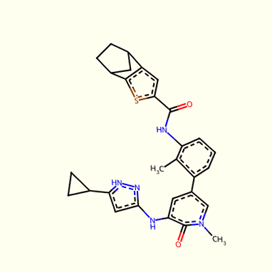 Cc1c(NC(=O)c2cc3c(s2)C2CCC3C2)cccc1-c1cc(Nc2cc(C3CC3)[nH]n2)c(=O)n(C)c1